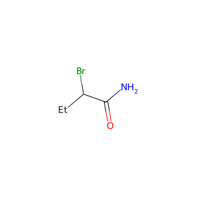 [CH2]CC(Br)C(N)=O